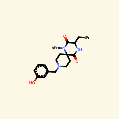 CCCN1C(=O)C(CC(C)C)NC(=O)C12CCN(Cc1cccc(O)c1)CC2